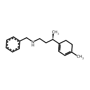 CC1=CC=C([C@H](C)CCNCc2ccccc2)CC1